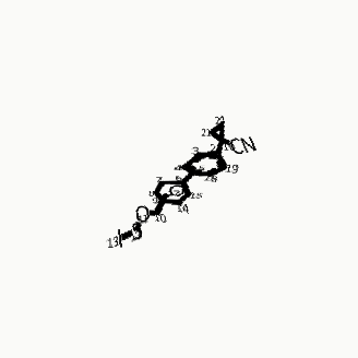 N#CC1(c2ccc(C34CCC(COSI)(CC3)CO4)cc2)CC1